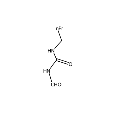 CCCCNC(=O)N[C]=O